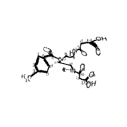 Cc1ccc(C(=O)N(CCNC(=O)CC(=O)O)CCNC(=O)CC(=O)O)cc1